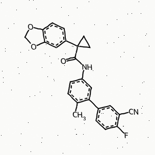 Cc1ccc(NC(=O)C2(c3ccc4c(c3)OCO4)CC2)cc1-c1ccc(F)c(C#N)c1